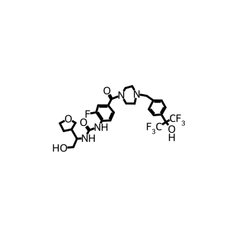 O=C(Nc1ccc(C(=O)N2CCN(Cc3ccc(C(O)(C(F)(F)F)C(F)(F)F)cc3)CC2)cc1F)NC(CO)C1CCOC1